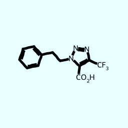 O=C(O)c1c(C(F)(F)F)nnn1CCc1ccccc1